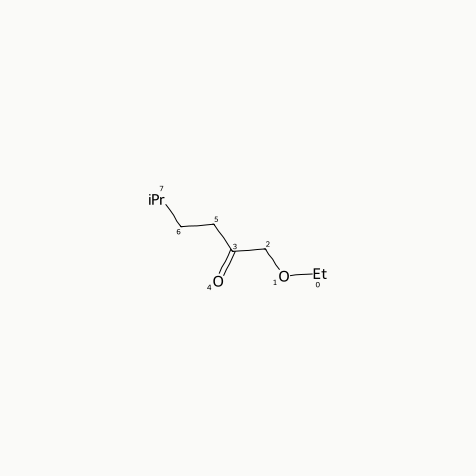 CCOCC(=O)CCC(C)C